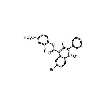 Cc1c(C(=O)Nc2ccc(C(=O)O)cc2F)c2cc(Br)ccc2[n+]([O-])c1-c1ccccc1